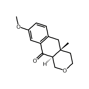 COc1ccc2c(c1)C(=O)[C@@H]1COCC[C@@]1(C)C2